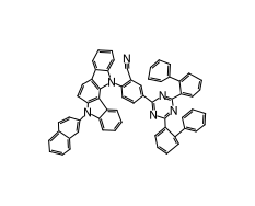 N#Cc1cc(-c2nc(-c3ccccc3-c3ccccc3)nc(-c3ccccc3-c3ccccc3)n2)ccc1-n1c2ccccc2c2ccc3c(c4ccccc4n3-c3ccc4ccccc4c3)c21